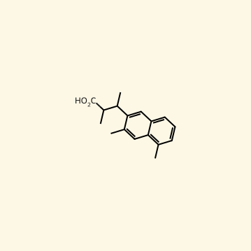 Cc1cc2c(C)cccc2cc1C(C)C(C)C(=O)O